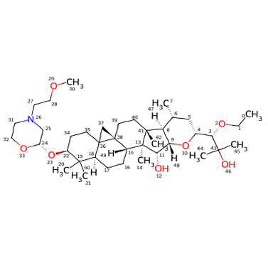 CCO[C@@H]([C@H]1C[C@@H](C)[C@H]2[C@H](O1)[C@H](O)[C@@]1(C)[C@@H]3CC[C@H]4C(C)(C)[C@@H](O[C@H]5CN(CCOC)CCO5)CCC45C[C@@]35CC[C@]21C)C(C)(C)O